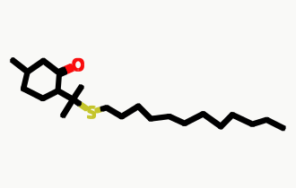 CCCCCCCCCCCCSC(C)(C)C1CCC(C)CC1=O